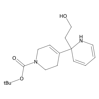 CC(C)(C)OC(=O)N1CC=C(C2(CCO)C=CC=CN2)CC1